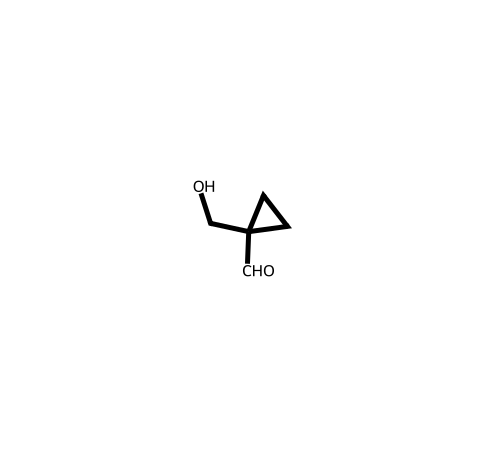 O=CC1(CO)CC1